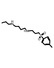 CCCNCCCCNCCCS(=O)(=O)c1ccc(C)cc1